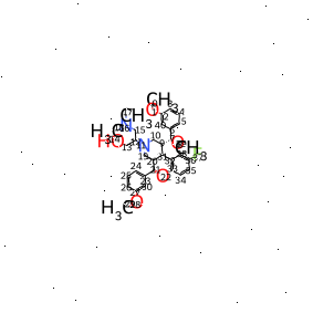 COc1cccc(C(=O)[C@H]2CN(C(CO)CN(C)C)C[C@H](C(=O)c3cccc(OC)c3)C2c2cccc(F)c2C)c1